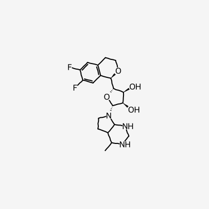 CC1NCNC2C1CCN2[C@@H]1O[C@H]([C@@H]2OCCc3cc(F)c(F)cc32)[C@@H](O)[C@H]1O